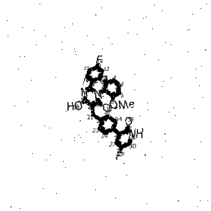 COc1cccc(OC)c1-n1c(-c2ccc(F)cc2)nc(O)c(Cc2ccc(-c3cc(F)c[nH]c3=O)cc2)c1=O